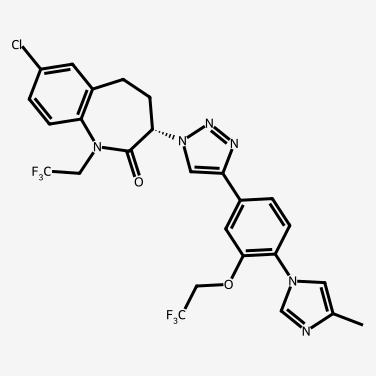 Cc1cn(-c2ccc(-c3cn([C@H]4CCc5cc(Cl)ccc5N(CC(F)(F)F)C4=O)nn3)cc2OCC(F)(F)F)cn1